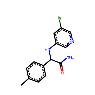 Cc1ccc(C(Nc2cncc(Br)c2)C(N)=O)cc1